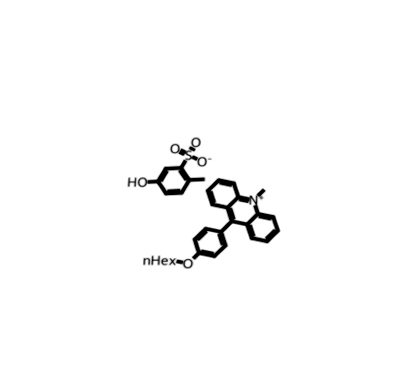 CCCCCCOc1ccc(-c2c3ccccc3[n+](C)c3ccccc23)cc1.Cc1ccc(O)cc1S(=O)(=O)[O-]